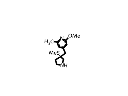 COc1cc(C[C@@]2(SC)CCNC2)cc(C)n1